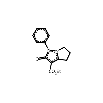 CCOC(=O)c1c2n(n(-c3ccccc3)c1=O)CCC2